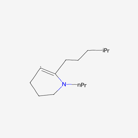 CCCN1CCC[C]=C1CCCC(C)C